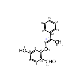 C/C(=C\Oc1cc(O)ccc1C=O)c1ccccc1